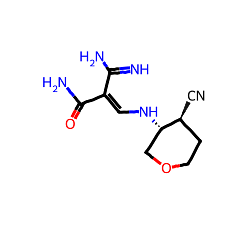 N#C[C@H]1CCOC[C@@H]1N/C=C(\C(=N)N)C(N)=O